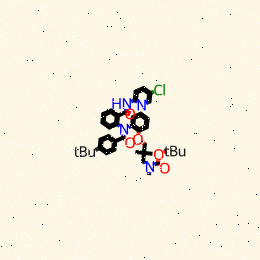 CN(CC(C)(C)COc1ccccc1N(C(=O)c1ccc(C(C)(C)C)cc1)c1ccccc1C(=O)Nc1ccc(Cl)cn1)C(=O)OC(C)(C)C